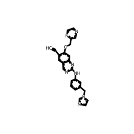 C#Cc1cc2cnc(Nc3cccc(Cn4ccnc4)c3)nc2cc1OCc1cnccn1